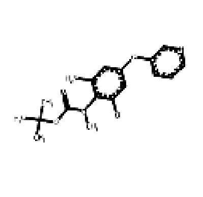 CN(C(=O)OC(C)(C)C)c1c(N)cc(Oc2cccnc2)cc1Cl